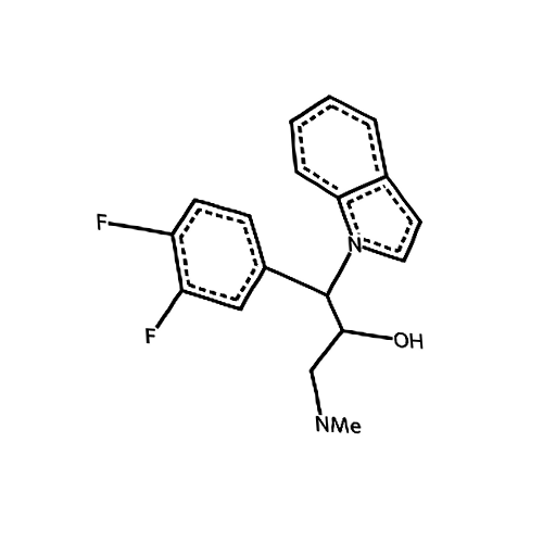 CNCC(O)C(c1ccc(F)c(F)c1)n1ccc2ccccc21